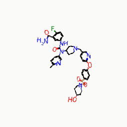 Cc1ccc(N(C(=O)Nc2ccc(F)c(C(N)=O)c2)C2CCN(Cc3ccc(Oc4ccc(S(=O)(=O)N5CCC(O)CC5)cc4)nc3)CC2)cn1